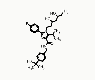 [CH2]CC(O)CC(O)CCn1c(-c2ccc(F)cc2)nc(C(=O)NCc2ccc(C(C)(C)C)cc2)c1C(C)C